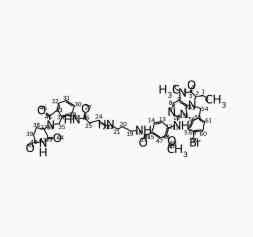 CC[C@@H]1C(=O)N(C)c2cnc(Nc3ccc(C(=O)NCCCNCCCC(=O)Nc4cccc5c4CN(C4CCC(=O)NC4=O)C5=O)cc3OC)nc2N1Cc1ccc(Br)cc1